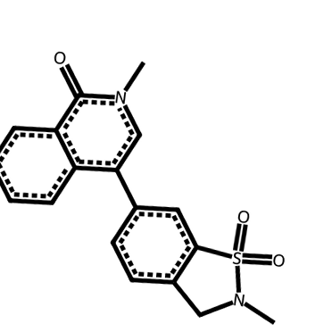 CN1Cc2ccc(-c3cn(C)c(=O)c4ccccc34)cc2S1(=O)=O